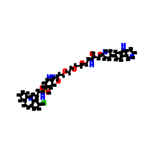 O=C(C=COCCOCCOCCNC(=O)COc1ccc(-c2ccc3c(c2)[nH]c2ccncc23)cn1)Nc1ccc(S(=O)(=O)NCCCN2c3ccccc3CCc3ccc(Cl)cc32)cc1